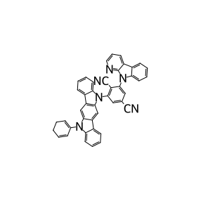 N#Cc1cc(-n2c3ccccc3c3cc4c(cc32)c2ccccc2n4C2=CCCC=C2)c(C#N)c(-n2c3ccccc3c3cccnc32)c1